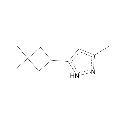 Cc1cc(C2CC(C)(C)C2)[nH]n1